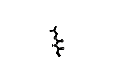 C=CC(=O)NC(=O)OCC(C)C